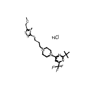 COCc1nnc(SCCCN2CCN(c3cc(C(F)(F)F)nc(C(C)(C)C)n3)CC2)n1C.Cl